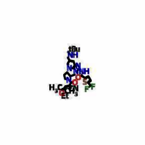 CCOC(C)(C)C=C(C#N)C(=O)N1CCCC1Cn1c(NC(=O)c2ccc(C(F)F)s2)nc2cc(CNCC(C)(C)C)cnc21